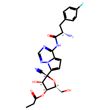 CCC(=O)O[C@H]1[C@@H](O)[C@](C#N)(c2ccc3c(NC(=O)[C@@H](N)Cc4ccc(F)cc4)ncnn23)O[C@@H]1CO